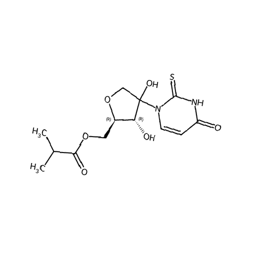 CC(C)C(=O)OC[C@H]1OCC(O)(n2ccc(=O)[nH]c2=S)[C@@H]1O